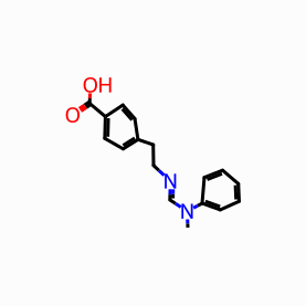 CN(C=NCCc1ccc(C(=O)O)cc1)c1ccccc1